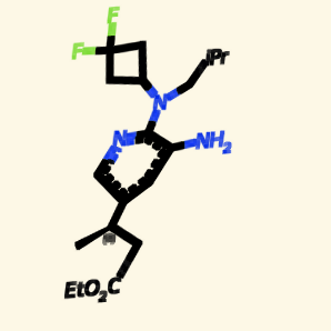 CCOC(=O)C[C@@H](C)c1cnc(N(CC(C)C)C2CC(F)(F)C2)c(N)c1